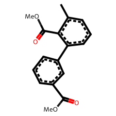 COC(=O)c1cccc(-c2cccc(C)c2C(=O)OC)c1